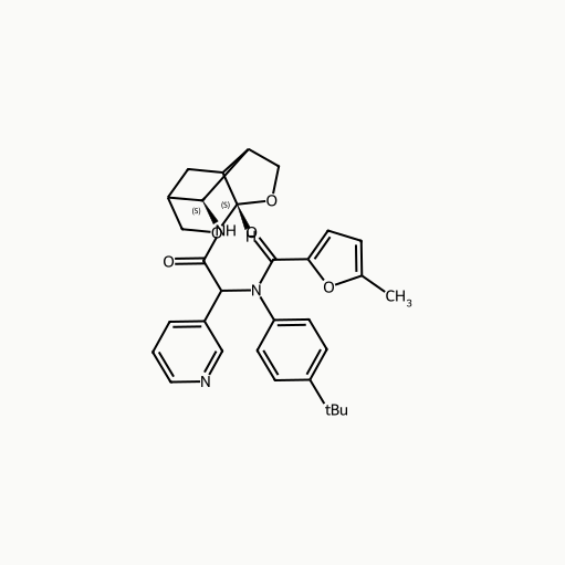 Cc1ccc(C(=O)N(c2ccc(C(C)(C)C)cc2)C(C(=O)N[C@H]2C3CO[C@H]4OCC2C4C3)c2cccnc2)o1